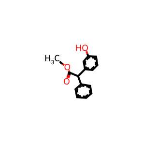 CCOC(=O)C(c1ccccc1)c1cccc(O)c1